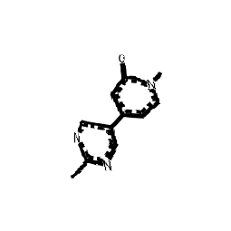 Cc1ncc(-c2ccn(C)c(=O)c2)cn1